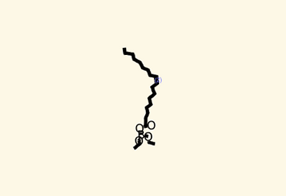 CCCCCCCC/C=C\CCCCCCCC(=O)OB(OCC)OCC